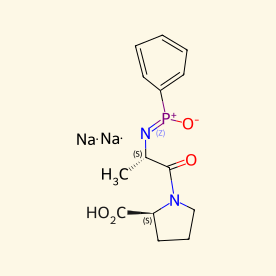 C[C@H](/N=[P+](\[O-])c1ccccc1)C(=O)N1CCC[C@H]1C(=O)O.[Na].[Na]